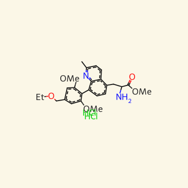 CCOCc1cc(OC)c(-c2ccc(CC(N)C(=O)OC)c3ccc(C)nc23)c(OC)c1.Cl.Cl